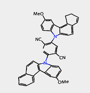 C=C(/C(C#N)=C\C(=C(/C)C#N)n1c2ccc(OC)cc2c2c3c(ccc21)C=CCC3)n1c2ccc(OC)cc2c2c3ccccc3ccc21